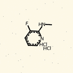 CNc1ncccc1F.Cl.Cl